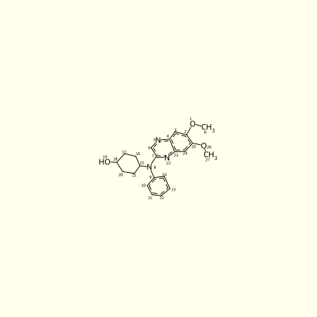 COc1cc2ncc(N(c3ccccc3)C3CCC(O)CC3)nc2cc1OC